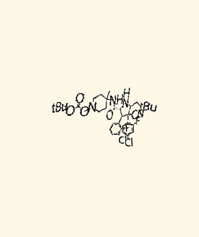 CC(C)(C)C[C@@H]1N[C@@H](C(=O)NC2(C)CCN(OC(=O)OC(C)(C)C)CC2)[C@H](c2cccc(Cl)c2F)[C@@]1(C#N)c1ccc(Cl)cc1F